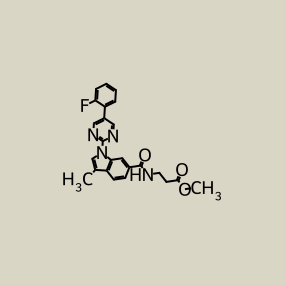 COC(=O)CCNC(=O)c1ccc2c(C)cn(-c3ncc(-c4ccccc4F)cn3)c2c1